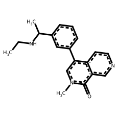 CCNC(C)c1cccc(-c2cn(C)c(=O)c3cnccc23)c1